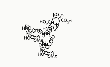 CCNC(=O)c1nnc(-c2cc(C(C)C)c(OC)cc2O)n1-c1ccc(CN2CCN(C(=O)CCNC(=O)[C@@H](CCC(=O)N3CCN(Cc4ccc(-n5c(C(=O)NCC)nnc5-c5cc(C(C)C)c(OC)cc5O)cc4)CC3)NC(=O)CC[C@H](C(=O)O)N3CCN(CC(=O)O)CCN(CC(=O)O)CCN(CC(=O)O)CC3)CC2)cc1